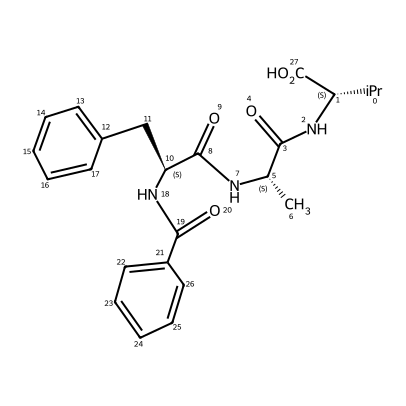 CC(C)[C@H](NC(=O)[C@H](C)NC(=O)[C@H](Cc1ccccc1)NC(=O)c1ccccc1)C(=O)O